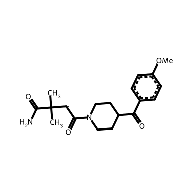 COc1ccc(C(=O)C2CCN(C(=O)[CH]C(C)(C)C(N)=O)CC2)cc1